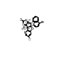 O=C1N[C@H]2[C@@H](O1)[C@@]1(O)c3ncc(Cl)cc3O[C@@]1(c1ccc(Br)cc1)[C@@H]2c1ccccc1